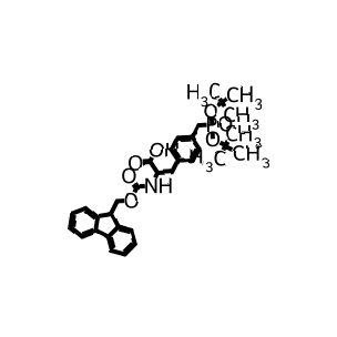 CC(C)(C)OP(=O)(Cc1ccc(CC(NC(=O)OCC2c3ccccc3-c3ccccc32)C(=O)O)cc1)OC(C)(C)C